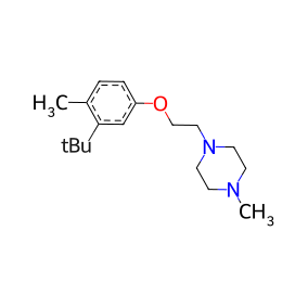 Cc1ccc(OCCN2CCN(C)CC2)cc1C(C)(C)C